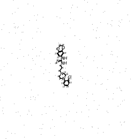 CN=C(NCCCN1CCN(c2ccccc2Cl)CC1)Nc1ccc2c(c1)OCCO2